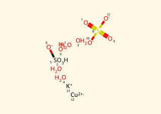 O.O.O.O.O.O=S(=O)([O-])O.O=S(=O)([O-])[O-].[Cu+2].[K+]